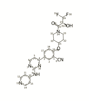 N#Cc1cc(-c2ccnc(Nc3ccncc3)n2)ccc1OC1CCN(C(=O)[C@H](O)C(F)F)CC1